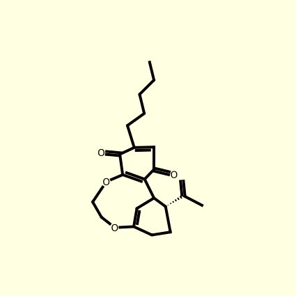 C=C(C)[C@@H]1CCC2=CC1C1=C(OCCO2)C(=O)C(CCCCC)=CC1=O